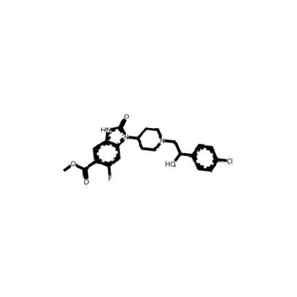 COC(=O)c1cc2[nH]c(=O)n(C3CCN(CC(O)c4ccc(Cl)cc4)CC3)c2cc1F